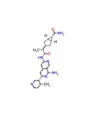 C/C(C(=O)Nc1cc2cc(-c3cnccc3C)nc(N)c2cn1)=C1\C[C@@H]2[C@H](C1)[C@@H]2C(N)=O